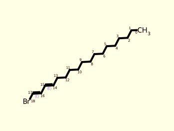 CCCCCCCCCCCCCC/C=C/C=C/Br